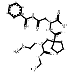 CCOC(=O)[C@H](CCOC)CC1(C(=O)N[C@@H](CC(=O)NC(=N)c2ccccc2)C(=O)O)CCCC1